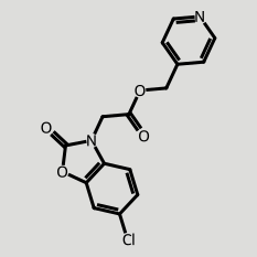 O=C(Cn1c(=O)oc2cc(Cl)ccc21)OCc1ccncc1